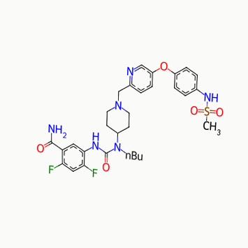 CCCCN(C(=O)Nc1cc(C(N)=O)c(F)cc1F)C1CCN(Cc2ccc(Oc3ccc(NS(C)(=O)=O)cc3)cn2)CC1